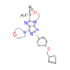 CC1(C)OCCn2c1nc1c(N3CCOCC3)nc(-c3ccc(OCc4ccccc4)cc3)nc12